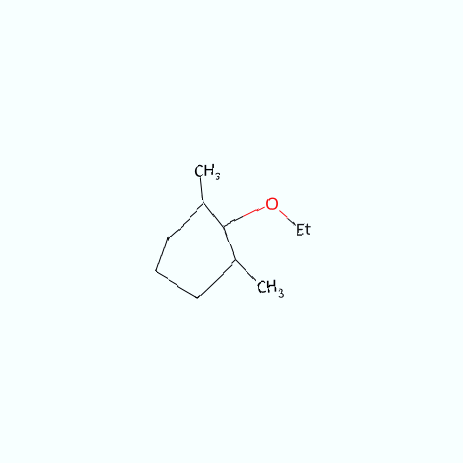 CCOC1C(C)CCCC1C